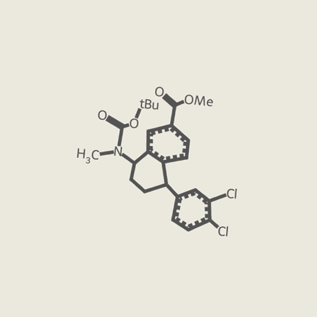 COC(=O)c1ccc2c(c1)C(N(C)C(=O)OC(C)(C)C)CCC2c1ccc(Cl)c(Cl)c1